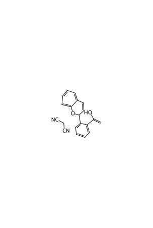 C=C(O)c1ccccc1C1C=Cc2ccccc2O1.N#CCC#N